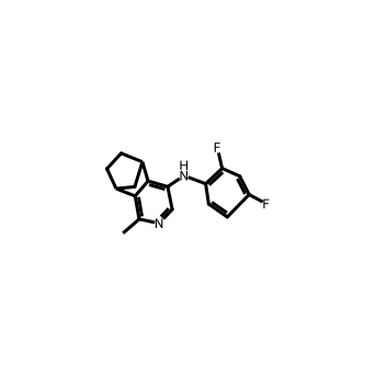 Cc1ncc(Nc2ccc(F)cc2F)c2c1C1CCC2C1